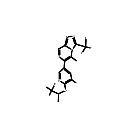 Cc1c(-c2cnc(O[C@@H](C)C(F)(F)F)c(F)c2)ncc2nnc(C(F)(F)Br)n12